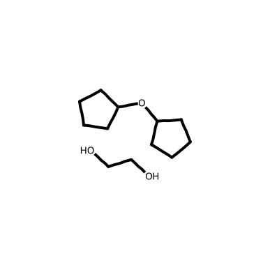 C1CCC(OC2CCCC2)C1.OCCO